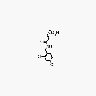 O=C(O)C=CC(=O)NCc1ccc(Cl)cc1Cl